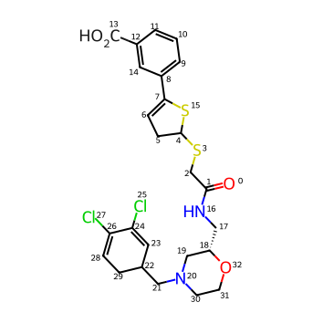 O=C(CSC1CC=C(c2cccc(C(=O)O)c2)S1)NC[C@H]1CN(CC2C=C(Cl)C(Cl)=CC2)CCO1